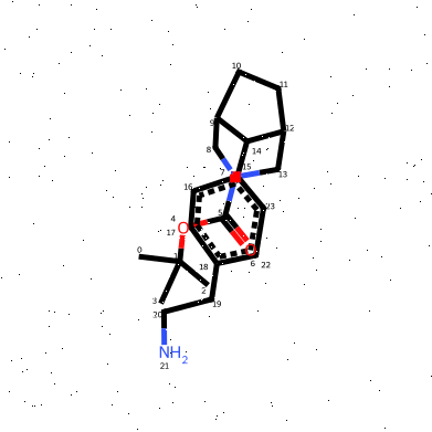 CC(C)(C)OC(=O)N1CC2CCC(C1)C2c1ccc(CCN)cc1